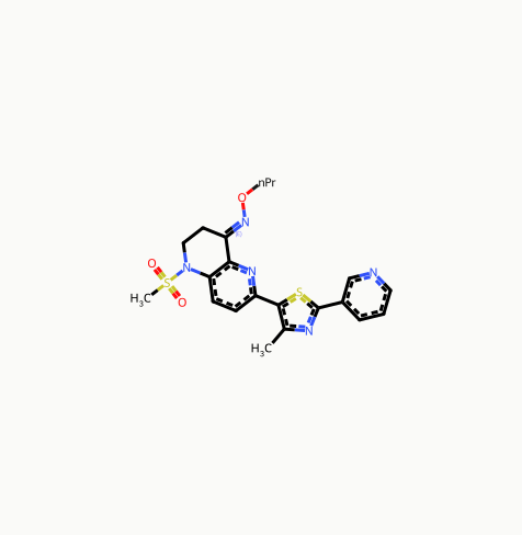 CCCO/N=C1\CCN(S(C)(=O)=O)c2ccc(-c3sc(-c4cccnc4)nc3C)nc21